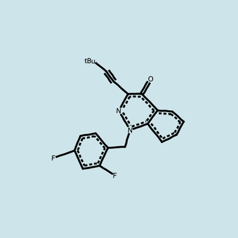 CC(C)(C)C#Cc1nn(Cc2ccc(F)cc2F)c2ccccc2c1=O